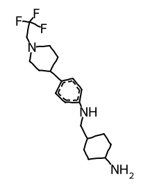 NC1CCC(CNc2ccc(C3CCN(CC(F)(F)F)CC3)cc2)CC1